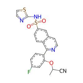 CC(C#N)Oc1cc(F)ccc1-c1nccc2cc(S(=O)(=O)Nc3nccs3)ccc12